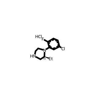 CC[C@H]1CNCCN1c1cc(Cl)ccc1F.Cl